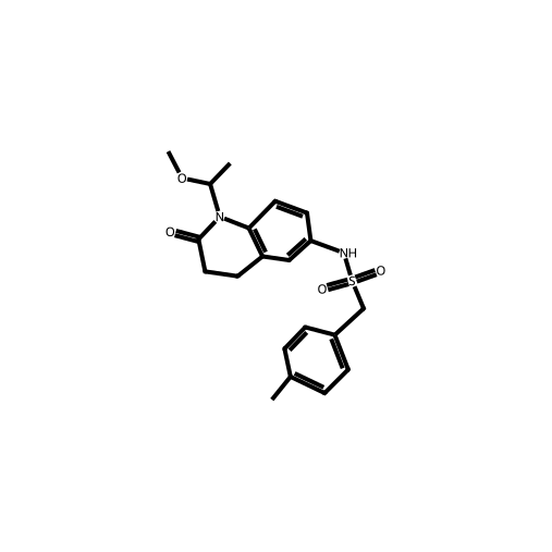 COC(C)N1C(=O)CCc2cc(NS(=O)(=O)Cc3ccc(C)cc3)ccc21